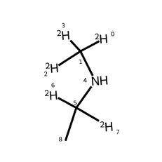 [2H]C([2H])([2H])NC([2H])([2H])C